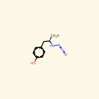 [N-]=[N+]=NN[C@@H](Cc1ccc(O)cc1)C(=O)O